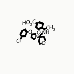 CC(NC(=O)C1(N2CC[C@@H](Oc3cccc(Cl)c3)C2)CCOCC1)c1ccc(C(=O)O)cc1